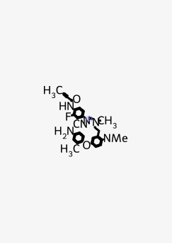 CC#CC(=O)Nc1ccc(/N=C/N(C)CCc2cc(Oc3ccc(N)cc3C)ccc2NC)c(C#N)c1F